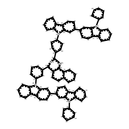 c1ccc(-n2c3ccccc3c3ccc(-c4ccc5c6ccccc6n(-c6ccc(-c7nc(-c8cccc(-n9c%10ccccc%10c%10ccc(-c%11ccc%12c%13ccccc%13n(-c%13ccccc%13)c%12c%11)cc%109)c8)c8ccc9ccccc9c8n7)cc6)c5c4)cc32)cc1